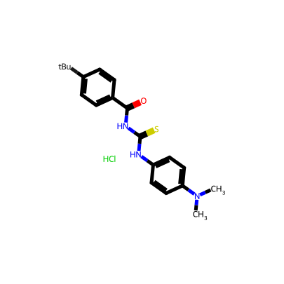 CN(C)c1ccc(NC(=S)NC(=O)c2ccc(C(C)(C)C)cc2)cc1.Cl